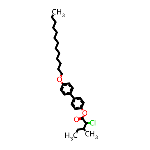 CCCCCCCCCCCCCOc1ccc(-c2ccc(OC(=O)C(Cl)C(C)CC)cc2)cc1